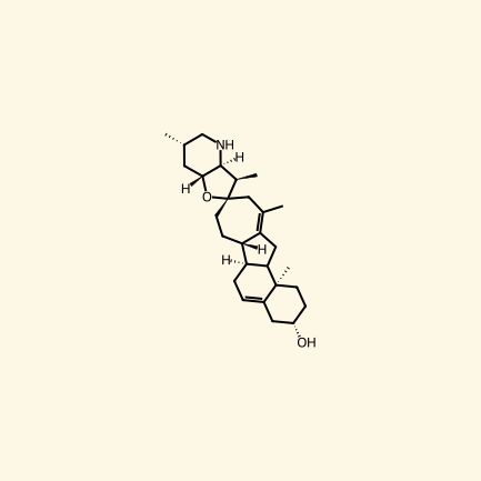 CC1=C2CC3[C@@H](CC=C4C[C@@H](O)CC[C@@]43C)[C@@H]2CC[C@@]2(C1)O[C@@H]1C[C@H](C)CN[C@H]1[C@H]2C